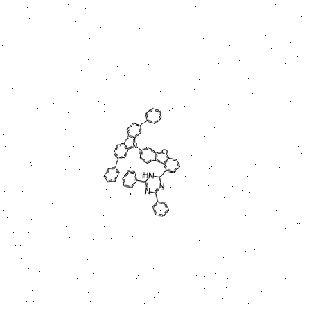 c1ccc(C2=NC(c3cccc4oc5cc(-n6c7cc(-c8ccccc8)ccc7c7ccc(-c8ccccc8)cc76)ccc5c34)NC(c3ccccc3)=N2)cc1